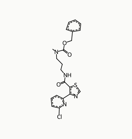 CN(CCCNC(=O)c1scnc1-c1cccc(Cl)n1)C(=O)OCc1ccccc1